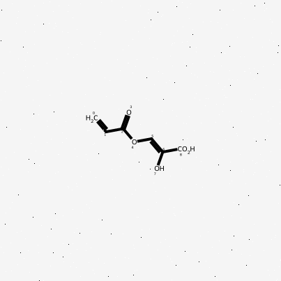 C=CC(=O)OC=C(O)C(=O)O